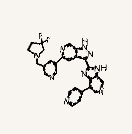 FC1(F)CCN(Cc2cncc(-c3cc4c(-c5nc6c(-c7ccncc7)cncc6[nH]5)n[nH]c4cn3)c2)C1